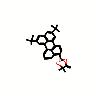 C=C1OB(c2ccc3c4cc(C(C)(C)C)cc5cc(C(C)(C)C)cc(c6cccc2c63)c54)OC1(C)C